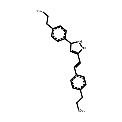 CCCCCCCCCCCCc1ccc(C=CC2=CC(c3ccc(CCCCCCCCCCCC)cc3)NN2)cc1